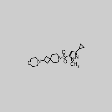 Cn1nc(C2CC2)cc1S(=O)(=O)N1CCC2(CC1)CC(N1CCOCC1)C2